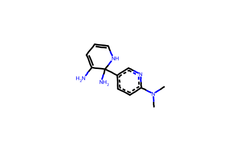 CN(C)c1ccc(C2(N)NC=CC=C2N)cn1